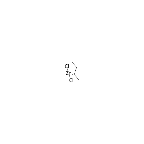 C[CH]CC.[Cl][Zn][Cl]